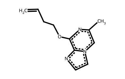 C=CCCOc1nc(C)cn2ccnc12